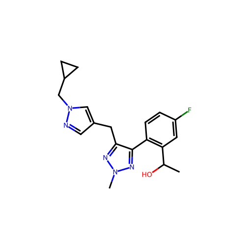 CC(O)c1cc(F)ccc1-c1nn(C)nc1Cc1cnn(CC2CC2)c1